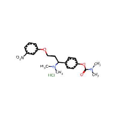 CN(C)C(=O)Oc1ccc(C(CCOc2cccc([N+](=O)[O-])c2)N(C)C)cc1.Cl